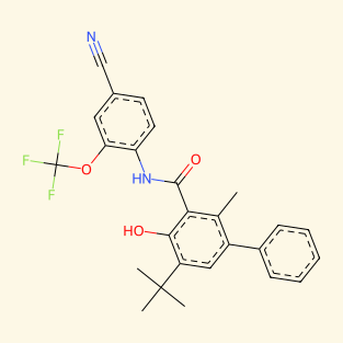 Cc1c(-c2ccccc2)cc(C(C)(C)C)c(O)c1C(=O)Nc1ccc(C#N)cc1OC(F)(F)F